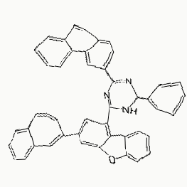 c1ccc(C2N=C(c3ccc4ccc5ccccc5c4c3)N=C(c3cc(-c4ccc5ccccc5c4)cc4oc5ccccc5c34)N2)cc1